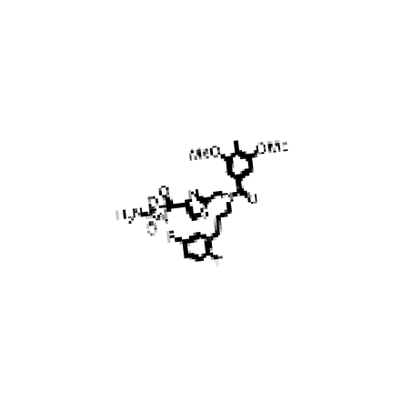 COc1cc(C(=O)N(CCCc2cc(F)ccc2F)Cc2nc(C(=O)NS(N)(=O)=O)cs2)cc(OC)c1C